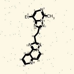 CCc1cnc(C)n2nc(CCc3nc4c5cccnc5ccn4n3)nc12